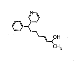 CC(O)/C=C/CCCC(c1ccccc1)c1cccnc1